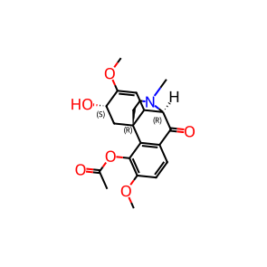 COC1=CC2[C@@H]3C(=O)c4ccc(OC)c(OC(C)=O)c4[C@]2(CCN3C)C[C@@H]1O